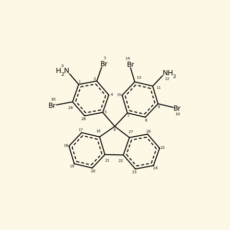 Nc1c(Br)cc(C2(c3cc(Br)c(N)c(Br)c3)c3ccccc3-c3ccccc32)cc1Br